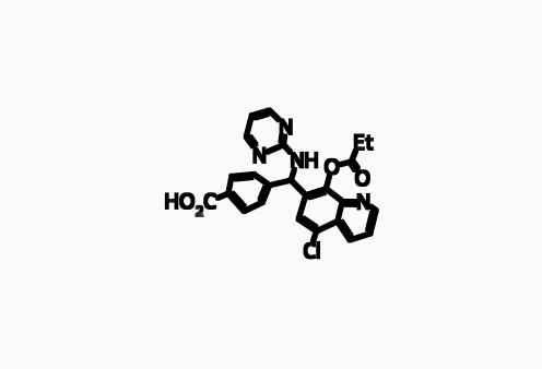 CCC(=O)Oc1c(C(Nc2ncccn2)c2ccc(C(=O)O)cc2)cc(Cl)c2cccnc12